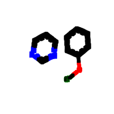 ClOc1ccccc1.c1cncnc1